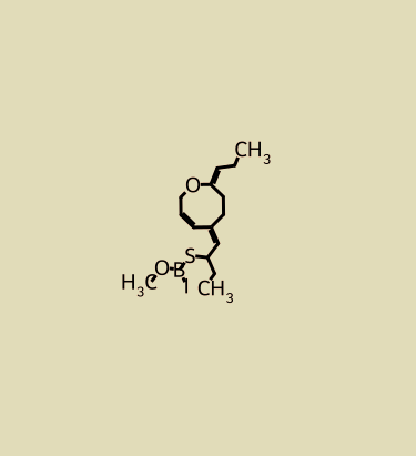 CC/C=C1\CCC(=CC(CC)SB(I)OC)/C=C\CO1